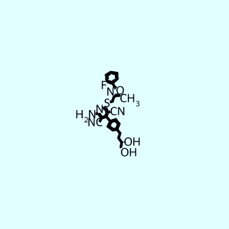 Cc1oc(-c2ccccc2F)nc1CSc1nc(N)c(C#N)c(-c2ccc(CC[C@H](O)CO)cc2)c1C#N